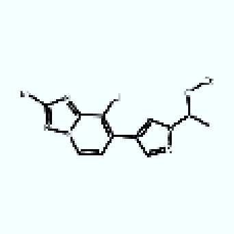 CCOC(C)n1cc(-c2ccn3nc(Br)nc3c2Cl)cn1